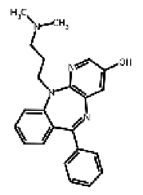 CN(C)CCCN1c2ccccc2C(c2ccccc2)=Nc2cc(O)cnc21